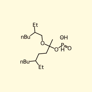 CCCCC(CC)CCC(C)(OCC(CC)CCCC)O[PH](=O)O